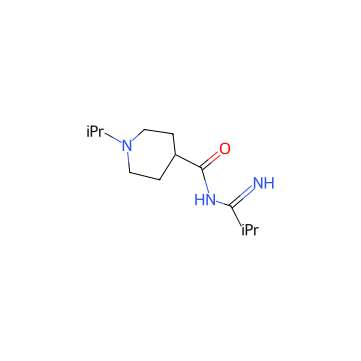 CC(C)C(=N)NC(=O)C1CCN(C(C)C)CC1